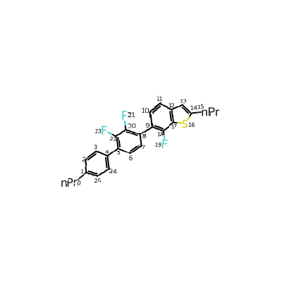 CCCc1ccc(-c2ccc(-c3ccc4cc(CCC)sc4c3F)c(F)c2F)cc1